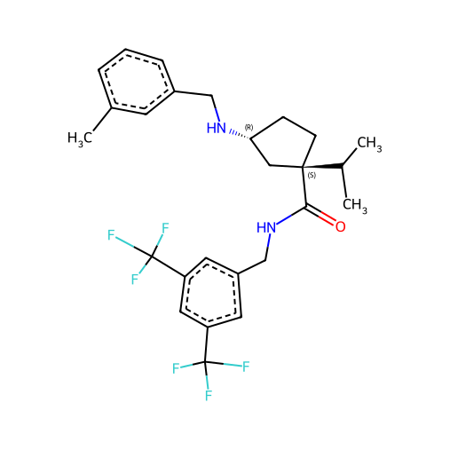 Cc1cccc(CN[C@@H]2CC[C@@](C(=O)NCc3cc(C(F)(F)F)cc(C(F)(F)F)c3)(C(C)C)C2)c1